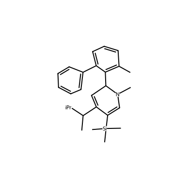 Cc1cccc(-c2ccccc2)c1C1C=C(C(C)C(C)C)C([Si](C)(C)C)=CN1C